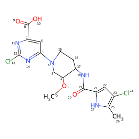 COC1CN(c2cc(C(=O)O)nc(Cl)n2)CCC1NC(=O)c1cc(Cl)c(C)[nH]1